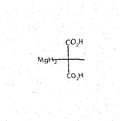 CC(C)(C(=O)O)C(=O)O.[MgH2]